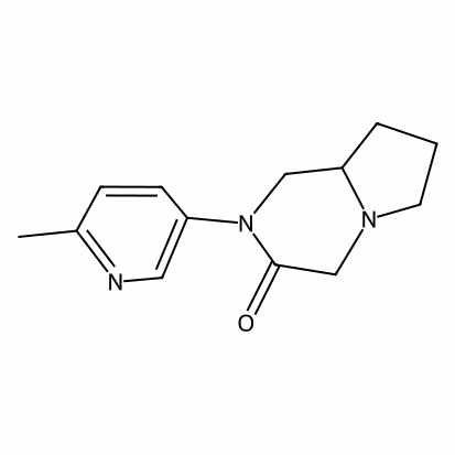 Cc1ccc(N2CC3CCCN3CC2=O)cn1